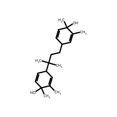 CC1=CC(CCC(C)(C)C2C=CC(C)(O)C(C)=C2)C=CC1(C)O